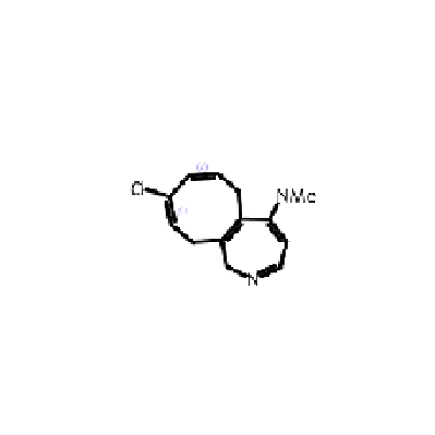 CNC1=CC=NCC2=C1C/C=C\C(Cl)=C/C2